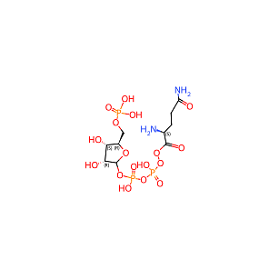 NC(=O)CC[C@H](N)C(=O)OOP(=O)(O)OP(=O)(O)OC1O[C@H](COP(=O)(O)O)[C@@H](O)[C@H]1O